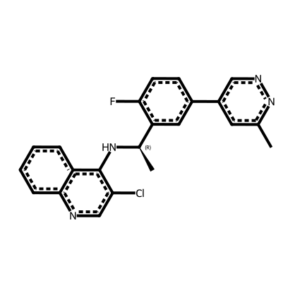 Cc1cc(-c2ccc(F)c([C@@H](C)Nc3c(Cl)cnc4ccccc34)c2)cnn1